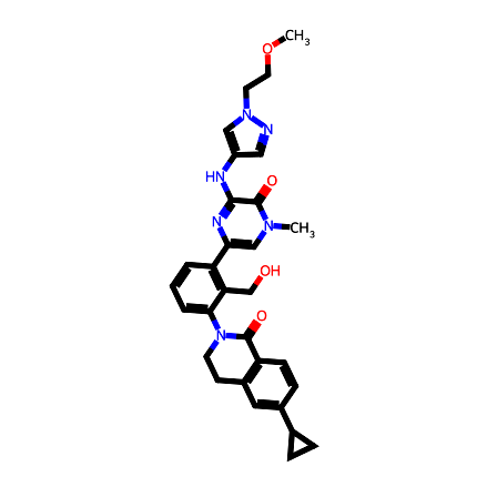 COCCn1cc(Nc2nc(-c3cccc(N4CCc5cc(C6CC6)ccc5C4=O)c3CO)cn(C)c2=O)cn1